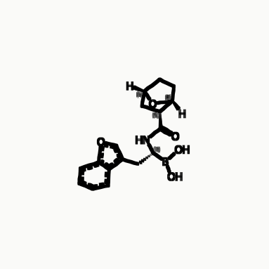 O=C(N[C@@H](Cc1coc2ccccc12)B(O)O)[C@H]1C[C@@H]2CC[C@H]1O2